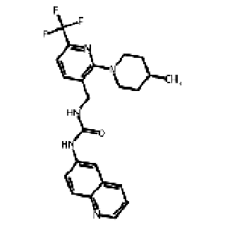 CC1CCN(c2nc(C(F)(F)F)ccc2CNC(=O)Nc2ccc3ncccc3c2)CC1